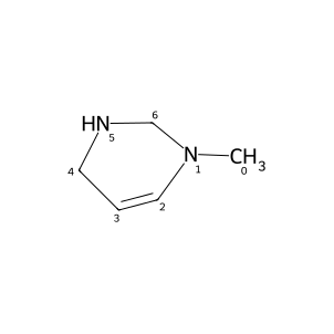 CN1C=CCNC1